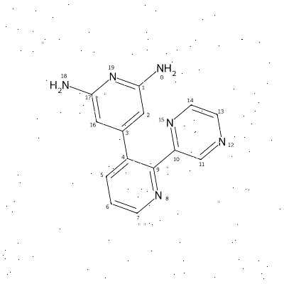 Nc1cc(-c2cccnc2-c2cnccn2)cc(N)n1